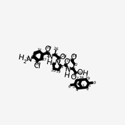 CC1CC2CC(C)C(O[C@H](O)[C@H](CC=O)NC(=O)[C@@H]3CCCN3C(=O)[C@H](C)NC(=O)c3ccc(N)c(Cl)c3)C(C1)C2